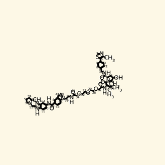 Cc1ncsc1-c1ccc(CNC(=O)[C@@H]2C[C@@H](O)CN2C(=O)C(NC(=O)COCCOCCOCC(=O)NCCn2ncc3cc(C(=O)Nc4ccc5[nH]c(CN6CCC[C@@H]6C)nc5c4)ccc32)C(C)(C)C)cc1